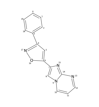 c1ccc(-c2cc(-c3cn4cccnc4n3)on2)cc1